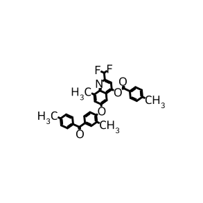 Cc1ccc(C(=O)Oc2cc(C(F)F)nc3c(C)cc(Oc4ccc(C(=O)c5ccc(C)cc5)cc4C)cc23)cc1